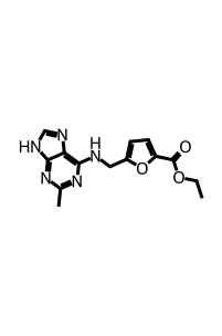 CCOC(=O)c1ccc(CNc2nc(C)nc3[nH]cnc23)o1